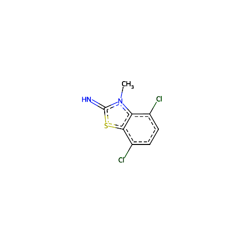 Cn1c(=N)sc2c(Cl)ccc(Cl)c21